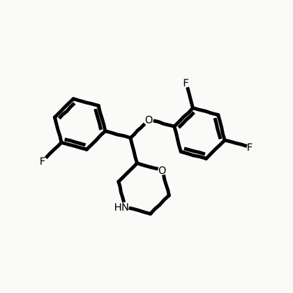 Fc1cccc(C(Oc2ccc(F)cc2F)C2CNCCO2)c1